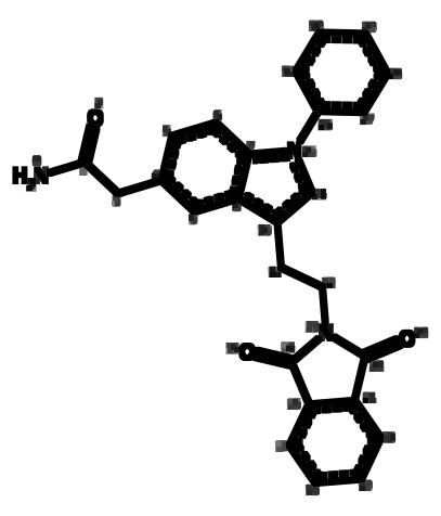 NC(=O)Cc1ccc2c(c1)c(CCN1C(=O)c3ccccc3C1=O)cn2-c1ccccc1